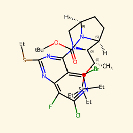 CCSc1nc(N2C[C@H]3CC[C@@H]([C@H]2[C@H](C)O[Si](CC)(CC)CC)N3C(=O)OC(C)(C)C)c2c(Br)nc(Cl)c(F)c2n1